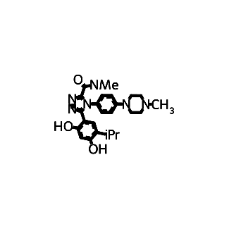 CNC(=O)c1nnc(-c2cc(C(C)C)c(O)cc2O)n1-c1ccc(N2CCN(C)CC2)cc1